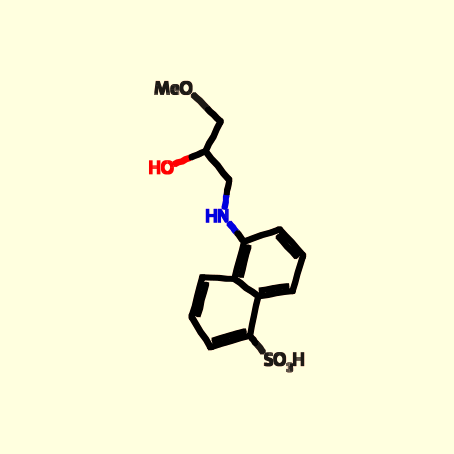 COCC(O)CNc1cccc2c(S(=O)(=O)O)cccc12